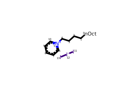 CCCCCCCCCCCC[n+]1ccccc1.I[I-]I